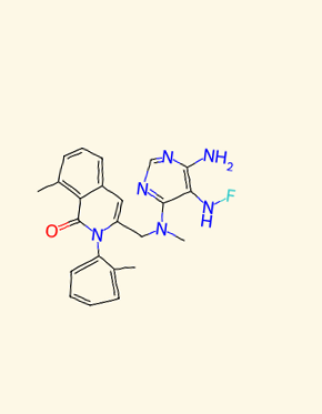 Cc1ccccc1-n1c(CN(C)c2ncnc(N)c2NF)cc2cccc(C)c2c1=O